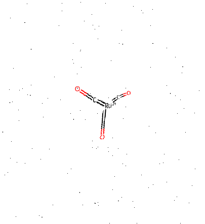 O=[C]=[Ru+2](=[C]=O)=[C]=O